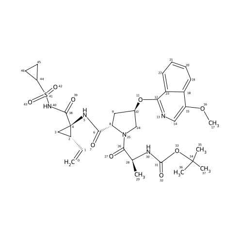 C=C[C@@H]1C[C@]1(NC(=O)[C@@H]1C[C@@H](Oc2ncc(OC)c3ccccc23)CN1C(=O)[C@H](C)NC(=O)OC(C)(C)C)C(=O)NS(=O)(=O)C1CC1